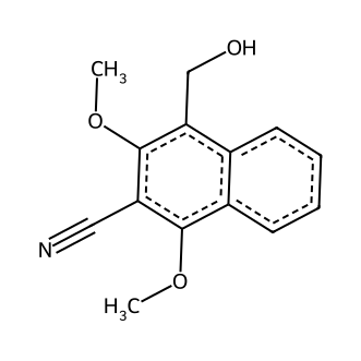 COc1c(C#N)c(OC)c2ccccc2c1CO